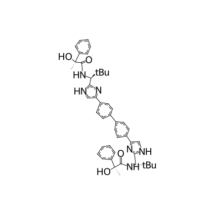 CC(C)(C)[C@H](NC(=O)[C@@](C)(O)c1ccccc1)c1nc(-c2ccc(-c3ccc(-c4c[nH]c([C@@H](NC(=O)[C@@](C)(O)c5ccccc5)C(C)(C)C)n4)cc3)cc2)c[nH]1